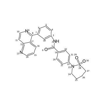 O=C(Nc1cccc(-c2nccc3ncccc23)c1)c1ccc(N2CCCCS2(=O)=O)cc1